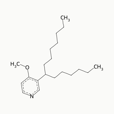 CCCCCCCC(CCCCCC)c1cnccc1OC